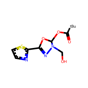 CC(C)(C)C(=O)OC1OC(c2nccs2)=NN1CO